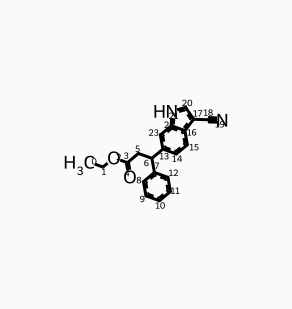 CCOC(=O)CC(c1ccccc1)c1ccc2c(C#N)c[nH]c2c1